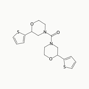 O=C(N1CCOC(c2cccs2)C1)N1CCOC(c2cccs2)C1